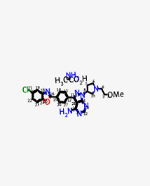 CC(=O)O.COCCN1CCC(n2nc(-c3ccc(-c4nc5cc(Cl)ccc5o4)cc3)c3c(N)ncnc32)C1.N